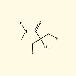 CCN(C)C(=O)C(N)(CF)CF